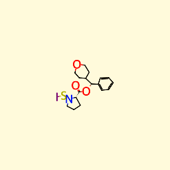 O=C(O[C@@H](c1ccccc1)C1CCOCC1)[C@@H]1CCCN1SI